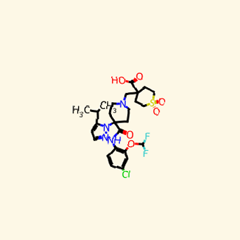 CC(C)c1ccnn1C1(C(=O)Nc2ccc(Cl)cc2OC(F)F)CCN(CC2(C(=O)O)CCS(=O)(=O)CC2)CC1